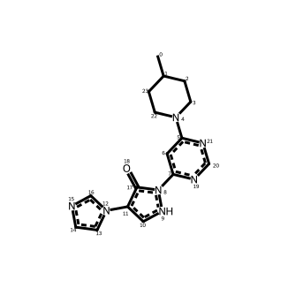 CC1CCN(c2cc(-n3[nH]cc(-n4ccnc4)c3=O)ncn2)CC1